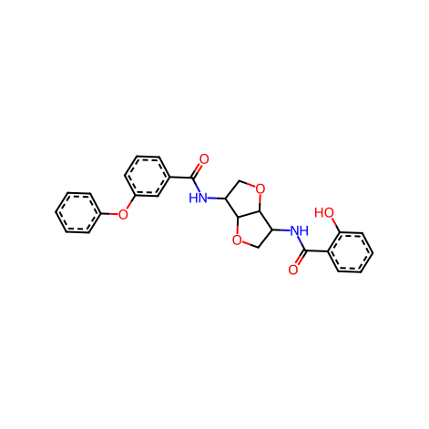 O=C(NC1COC2C(NC(=O)c3ccccc3O)COC12)c1cccc(Oc2ccccc2)c1